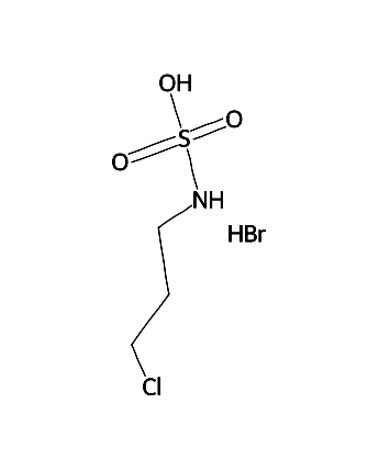 Br.O=S(=O)(O)NCCCCl